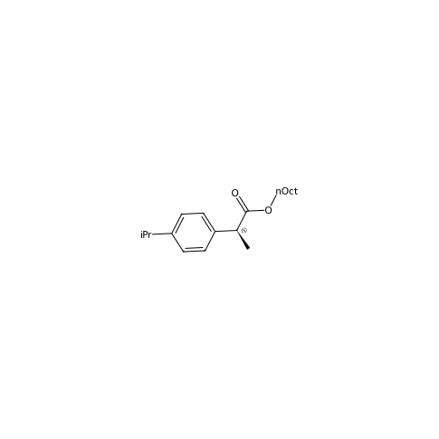 CCCCCCCCOC(=O)[C@@H](C)c1ccc(C(C)C)cc1